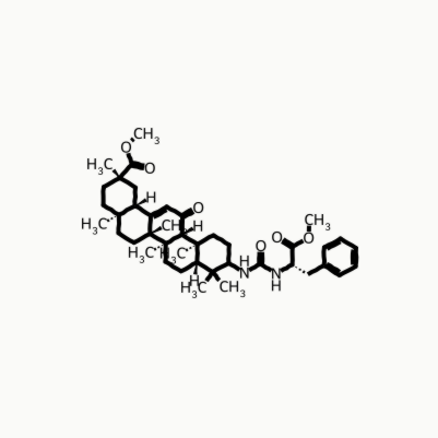 COC(=O)[C@H](Cc1ccccc1)NC(=O)NC1CC[C@]2(C)[C@H]3C(=O)C=C4[C@H]5C[C@@](C)(C(=O)OC)CC[C@]5(C)CC[C@@]4(C)[C@]3(C)CC[C@H]2C1(C)C